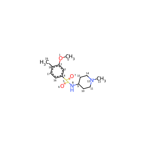 COc1cc(S(=O)(=O)NC2CCN(C)CC2)ccc1C